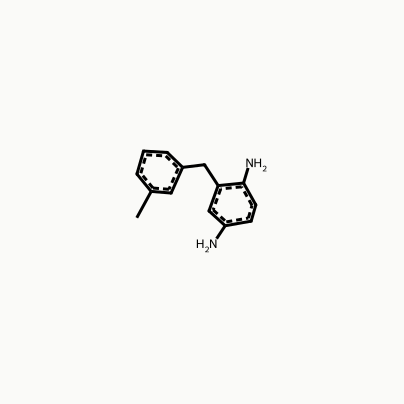 Cc1cccc(Cc2cc(N)ccc2N)c1